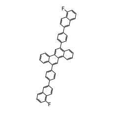 Fc1cccc2cc(-c3ccc(-c4cc5c6ccccc6c(-c6ccc(-c7ccc8c(F)cccc8c7)cc6)cc5c5ccccc45)cc3)ccc12